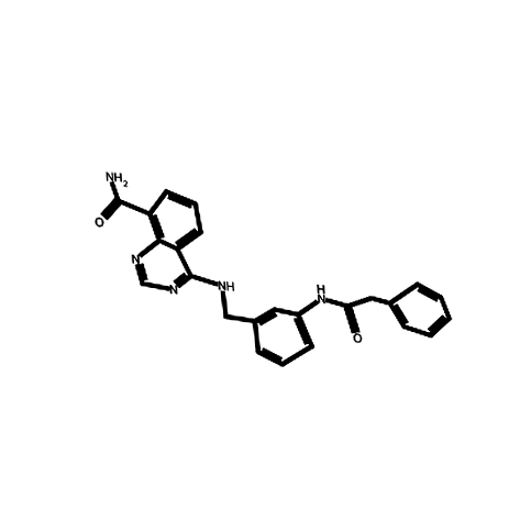 NC(=O)c1cccc2c(NCc3cccc(NC(=O)Cc4ccccc4)c3)ncnc12